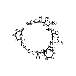 CC[C@H](C)[C@@H]1NC(=O)[C@H](CC(C)C)NC(=O)C2(CCCCC2)NC(=O)CCSCc2cccc(c2)CSCCNC1=O